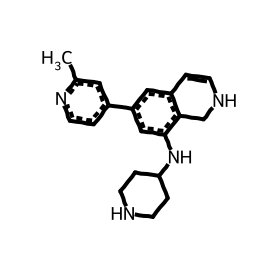 Cc1cc(-c2cc3c(c(NC4CCNCC4)c2)CNC=C3)ccn1